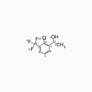 CC(O)c1cccc(C(F)(F)F)c1Cl